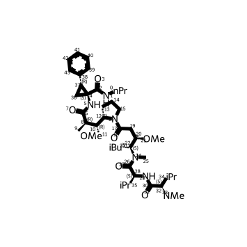 CCCNC(=O)[C@]1(NC(=O)[C@H](C)[C@@H](OC)[C@@H]2CCCN2C(=O)C[C@@H](OC)[C@H]([C@@H](C)CC)N(C)C(=O)[C@@H](NC(=O)[C@@H](NC)C(C)C)C(C)C)C[C@@H]1c1ccccc1